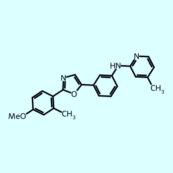 COc1ccc(-c2ncc(-c3cccc(Nc4cc(C)ccn4)c3)o2)c(C)c1